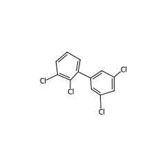 Clc1cc(Cl)cc(-c2cccc(Cl)c2Cl)c1